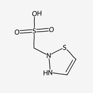 O=S(=O)(O)CN1NC=CS1